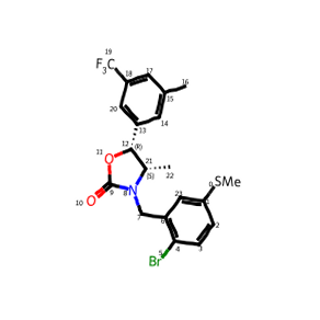 CSc1ccc(Br)c(CN2C(=O)O[C@H](c3cc(C)cc(C(F)(F)F)c3)[C@@H]2C)c1